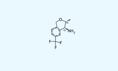 C[C@@H]1OCc2ccc(C(F)(F)F)cc2[C@@H]1N